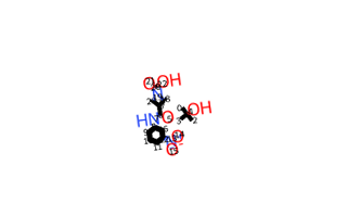 CC(C)(C)O.O=C(Nc1cccc([N+](=O)[O-])c1)C1CN(C(=O)O)C1